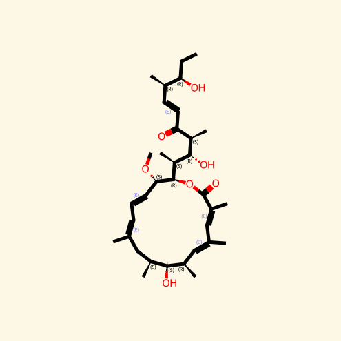 CC[C@@H](O)[C@H](C)/C=C/C(=O)[C@@H](C)[C@H](O)[C@H](C)[C@H]1OC(=O)/C(C)=C/C(C)=C/[C@@H](C)[C@@H](O)[C@@H](C)C/C(C)=C/C=C/[C@@H]1OC